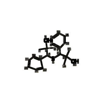 CC(C)(O)C(SC(c1ccccc1)C(C)(C)O)c1ccccc1